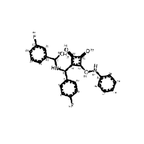 CC(NC(c1ccc(F)cc1)c1c(ONc2ccccc2)c(=O)c1=O)c1cccc(F)c1